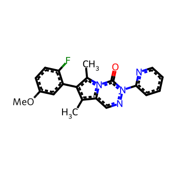 COc1ccc(F)c(-c2c(C)c3cnn(-c4ccccn4)c(=O)n3c2C)c1